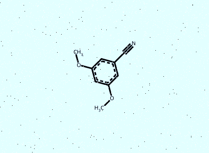 COc1[c]c(OC)cc(C#N)c1